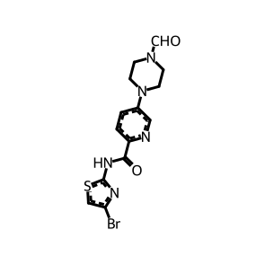 O=CN1CCN(c2ccc(C(=O)Nc3nc(Br)cs3)nc2)CC1